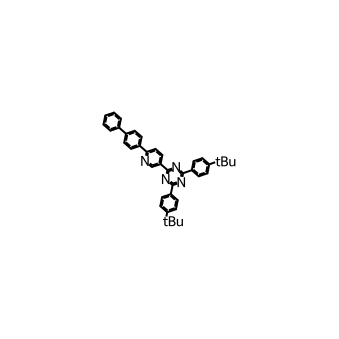 CC(C)(C)c1ccc(-c2nc(-c3ccc(C(C)(C)C)cc3)nc(-c3ccc(-c4ccc(-c5ccccc5)cc4)nc3)n2)cc1